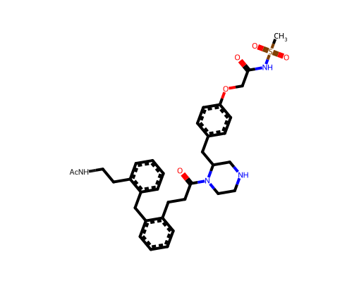 CC(=O)NCCc1ccccc1Cc1ccccc1CCC(=O)N1CCNCC1Cc1ccc(OCC(=O)NS(C)(=O)=O)cc1